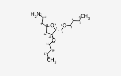 CCCCOC[C@H]1OC(CCN)C[C@@H]1OCCCC